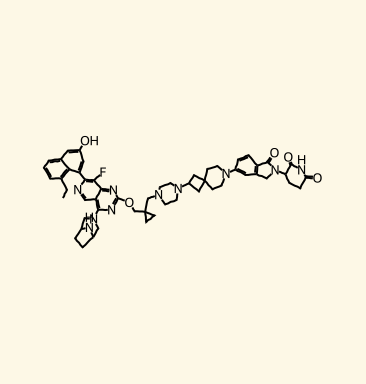 CCc1cccc2cc(O)cc(-c3ncc4c(N5CC6CCC(C5)N6)nc(OCC5(CN6CCN(C7CC8(CCN(c9ccc%10c(c9)CN(C9CCC(=O)NC9=O)C%10=O)CC8)C7)CC6)CC5)nc4c3F)c12